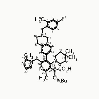 Cc1cc(F)ccc1CN1CCc2cc(-c3c(Cn4ncnc4C)nc(C)c([C@H](OC(C)(C)C)C(=O)O)c3N3CCC(C)(C)CC3)ccc2C1